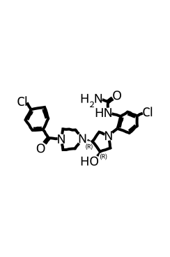 NC(=O)Nc1cc(Cl)ccc1N1C[C@@H](O)[C@H](N2CCN(C(=O)c3ccc(Cl)cc3)CC2)C1